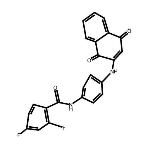 O=C(Nc1ccc(NC2=CC(=O)c3ccccc3C2=O)cc1)c1ccc(F)cc1F